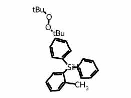 CC(C)(C)OOC(C)(C)C.Cc1ccccc1[SiH](c1ccccc1)c1ccccc1